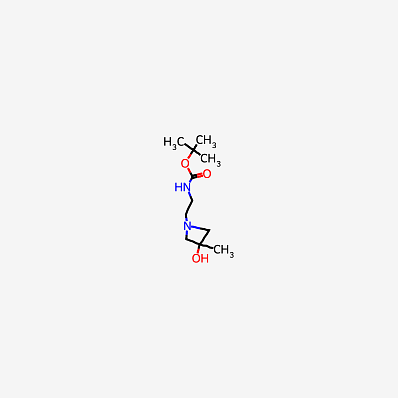 CC1(O)CN(CCNC(=O)OC(C)(C)C)C1